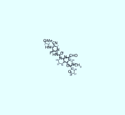 COCCNc1c(C#N)cnc(NC(=O)N2CCCc3cc(CN(C)C(=O)C4CCCO4)c(C=O)nc32)c1F